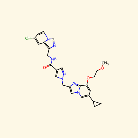 COCCOc1cc(C2CC2)cn2cc(Cn3cc(C(=O)NCc4ncn5ccc(Cl)cc45)cn3)nc12